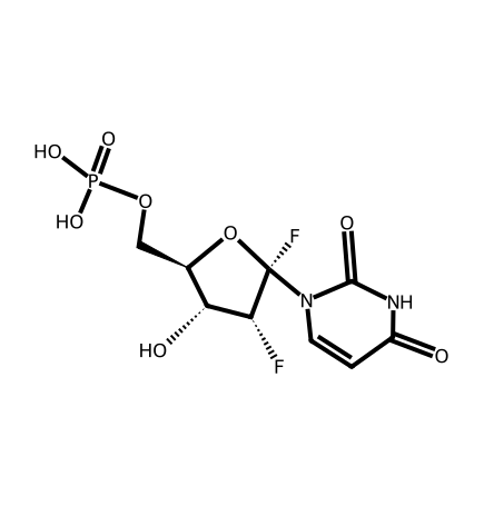 O=c1ccn([C@]2(F)O[C@H](COP(=O)(O)O)[C@@H](O)[C@H]2F)c(=O)[nH]1